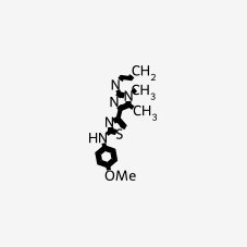 C=C/C=N\c1nc(-c2csc(Nc3ccc(OC)cc3)n2)c(C)n1C